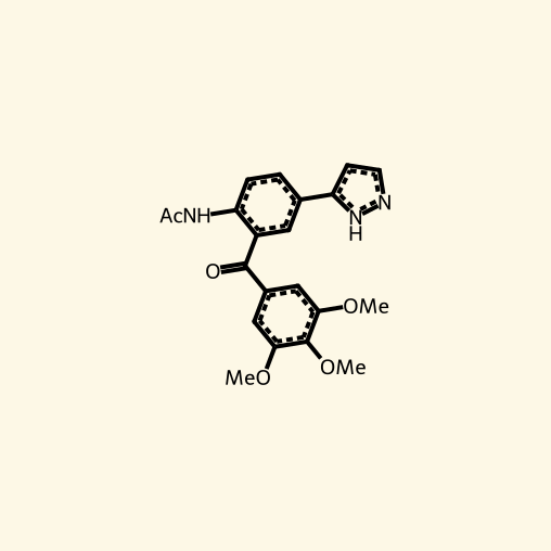 COc1cc(C(=O)c2cc(-c3ccn[nH]3)ccc2NC(C)=O)cc(OC)c1OC